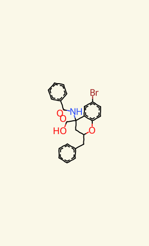 O=C(NC1(C(=O)O)CC(Cc2ccccc2)Oc2ccc(Br)cc21)c1ccccc1